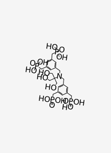 O=P(O)(O)Cc1cc(CN(Cc2cc(CP(=O)(O)O)cc(CP(=O)(O)O)c2)C(CO)(CO)CO)cc(CP(=O)(O)O)c1